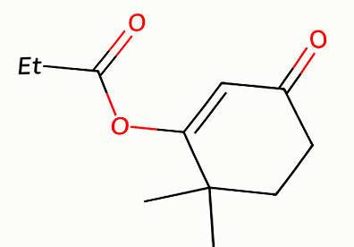 CCC(=O)OC1=CC(=O)CCC1(C)C